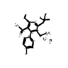 CCc1nc(CC(C)(C)C)c(CN)c(-c2ccc(C)cc2)c1C(=O)O.Cl.Cl